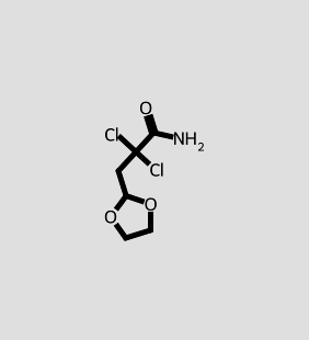 NC(=O)C(Cl)(Cl)CC1OCCO1